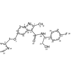 Cc1nn2ccc(OCc3ccccn3)cc2c1C(=O)NC(CO)c1ccc(F)cc1